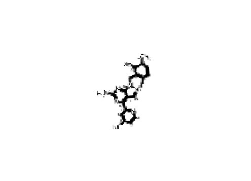 CC1C=CC(F)=C(Cn2ncc3c(-c4cc(C#N)ccn4)nc(N)nc32)C1F